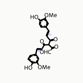 COc1cc(/C=C/C(=O)C(C(=O)C=O)C(=O)/C=C/c2ccc(O)c(OC)c2)ccc1O